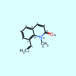 C=Cc1cccc2ccc(=O)n(C)c12